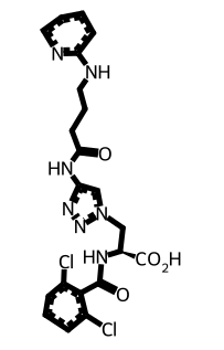 O=C(CCCNc1ccccn1)Nc1cn(C[C@H](NC(=O)c2c(Cl)cccc2Cl)C(=O)O)nn1